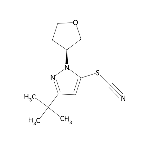 CC(C)(C)c1cc(SC#N)n([C@H]2CCOC2)n1